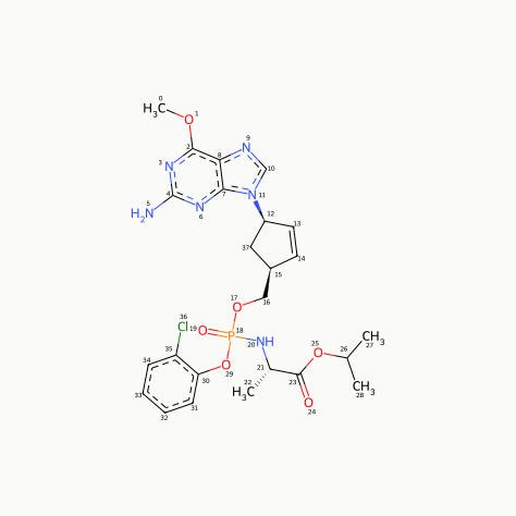 COc1nc(N)nc2c1ncn2[C@H]1C=C[C@@H](COP(=O)(N[C@@H](C)C(=O)OC(C)C)Oc2ccccc2Cl)C1